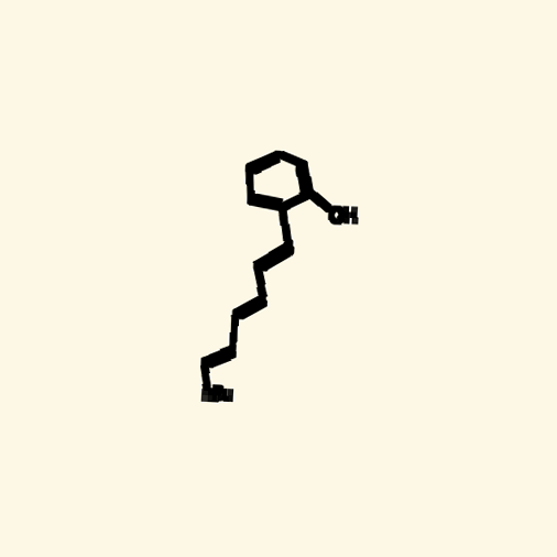 CCCCC=CC=CC=Cc1ccccc1O